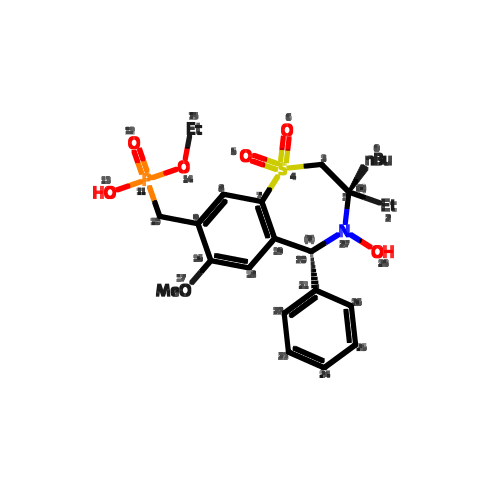 CCCC[C@]1(CC)CS(=O)(=O)c2cc(CP(=O)(O)OCC)c(OC)cc2[C@@H](c2ccccc2)N1O